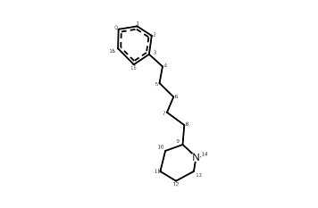 c1ccc(CCCCCC2CCCC[N]2)cc1